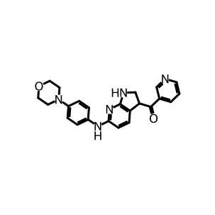 O=C(c1cccnc1)C1CNc2nc(Nc3ccc(N4CCOCC4)cc3)ccc21